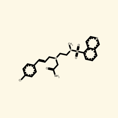 CN(CCN(CC=Cc1ccc(Cl)cc1)CC(N)=O)S(=O)(=O)c1cccc2cnccc12